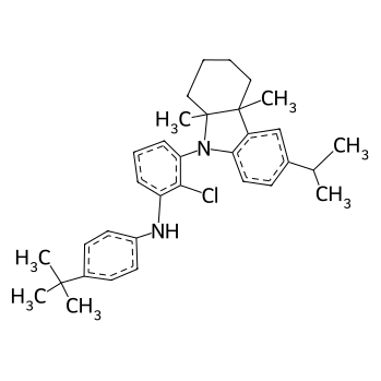 CC(C)c1ccc2c(c1)C1(C)CCCCC1(C)N2c1cccc(Nc2ccc(C(C)(C)C)cc2)c1Cl